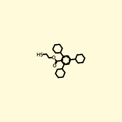 O=C(OCCS)c1c(C2CCCCC2)cc(C2CCCCC2)cc1C1CCCCC1